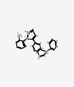 Cc1ccccc1-n1nccc1-c1ccc2ncn(-c3ccccc3)c2c1